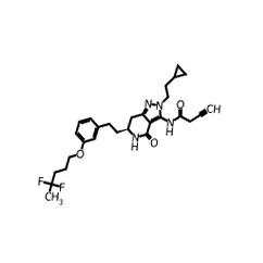 C#CCC(=O)Nc1c2c(nn1CCC1CC1)C[C@H](CCc1cccc(OCCCC(C)(F)F)c1)NC2=O